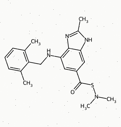 Cc1nc2c(NCc3c(C)cccc3C)cc(C(=O)SN(C)C)cc2[nH]1